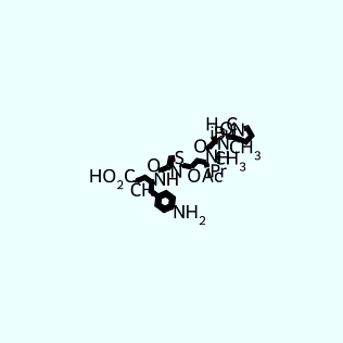 CCC(C)C(NC(=O)[C@@]1(C)CCCN1C)C(=O)N(C)C(CC(OC(C)=O)c1nc(C(=O)NC(Cc2ccc(N)cc2)CC(C)C(=O)O)cs1)C(C)C